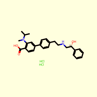 CC(C)N(C)c1cc(-c2ccc(CCNC[C@H](O)c3ccccc3)cc2)ccc1C(=O)O.Cl.Cl